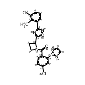 Cc1c(Cl)cccc1-c1noc(C2CCN2C(=O)c2ccc(Cl)cc2-n2nccn2)n1